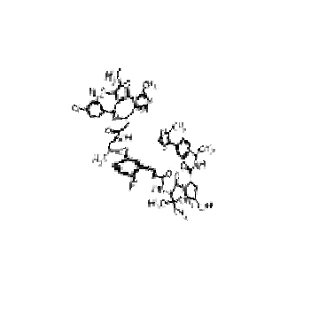 Cc1ncsc1-c1ccc([C@H](C)NC(=O)[C@@H]2C[C@@H](O)CN2C(=O)[C@@H](NC(=O)/C=C/c2cc(O[C@H](C)CNC(=O)C[C@@H]3N=C(c4ccc(Cl)cc4)c4c(sc(C)c4C)-n4c(C)nnc43)ccc2F)C(C)(C)C)cc1